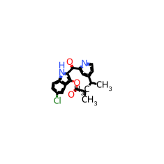 CCC(=O)Oc1c(C(=O)c2cc(C(C)C)ccn2)[nH]c2ccc(Cl)cc12